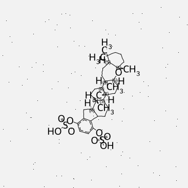 CC1(C)CCC[C@]2(C)O[C@H]3CC[C@@]4(C)[C@@H](CC[C@]5(C)[C@@H]4CCC4c6c(OS(=O)(=O)O)ccc(OS(=O)(=O)O)c6C[C@H]45)[C@]3(C)CC[C@@H]12